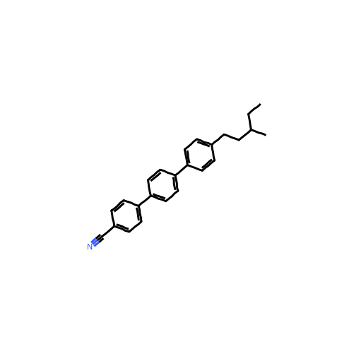 CCC(C)CCc1ccc(-c2ccc(-c3ccc(C#N)cc3)cc2)cc1